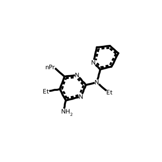 CCCc1nc(N(CC)c2ccccn2)nc(N)c1CC